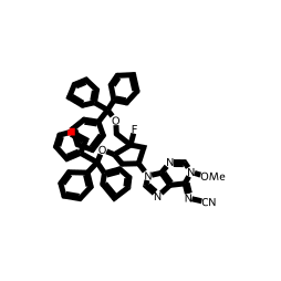 COn1cnc2c(ncn2C2CC(OC(c3ccccc3)(c3ccccc3)c3ccccc3)C(F)(COC(c3ccccc3)(c3ccccc3)c3ccccc3)C2)c1=NC#N